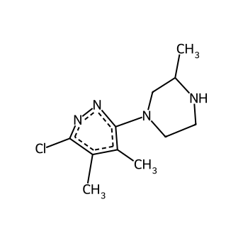 Cc1c(Cl)nnc(N2CCNC(C)C2)c1C